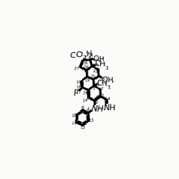 CC12CC(C=N)=C(Nc3ccccc3)C=C1C(F)=CC1C2C(O)CC2(C)C1CC[C@]2(O)C(=O)O